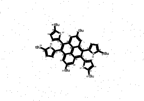 CC(C)(C)c1cc2c(-c3ccc(C(C)(C)C)s3)c(-c3ccc(C(C)(C)C)s3)c3cc(C(C)(C)C)cc4c(-c5ccc(C(C)(C)C)s5)c(-c5ccc(C(C)(C)C)s5)c(c1)c2c34